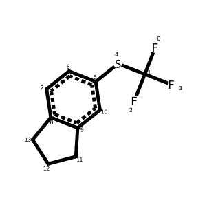 FC(F)(F)Sc1ccc2c(c1)CC[CH]2